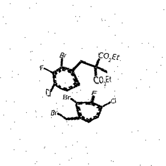 CCOC(=O)C(C)(Cc1ccc(Cl)c(F)c1Br)C(=O)OCC.Fc1c(Cl)ccc(CBr)c1Br